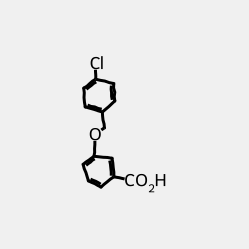 O=C(O)c1cccc(OCc2ccc(Cl)cc2)c1